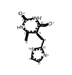 C=c1[nH]c(=O)[nH]c(=O)/c1=C/c1nccs1